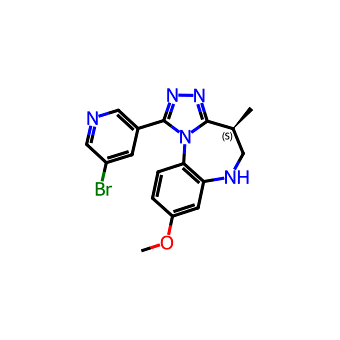 COc1ccc2c(c1)NC[C@H](C)c1nnc(-c3cncc(Br)c3)n1-2